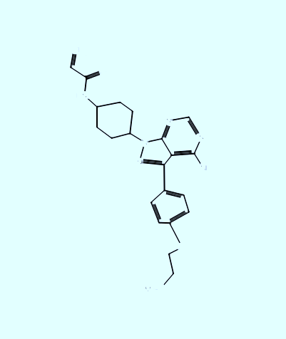 C=CC(=O)NC1CCC(n2nc(-c3ccc(OCCOC)cc3)c3c(N)ncnc32)CC1